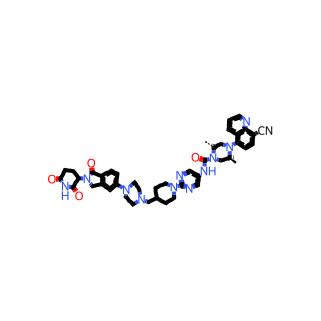 C[C@@H]1CN(c2ccc(C#N)c3ncccc23)[C@@H](C)CN1C(=O)Nc1cnc(N2CCC(CN3CCN(c4ccc5c(c4)CN(C4CCC(=O)NC4=O)C5=O)CC3)CC2)nc1